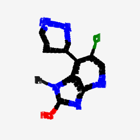 CC(C)n1c(O)nc2ncc(Cl)c(-c3cc[nH]n3)c21